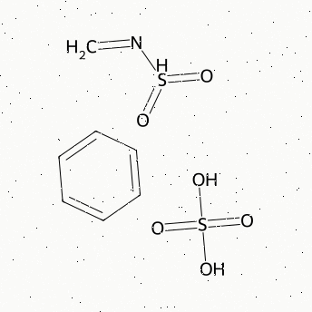 C=N[SH](=O)=O.O=S(=O)(O)O.c1ccccc1